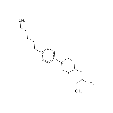 CCCCCCc1ccc(C2=CCC(CC(C)CC)CC2)cc1